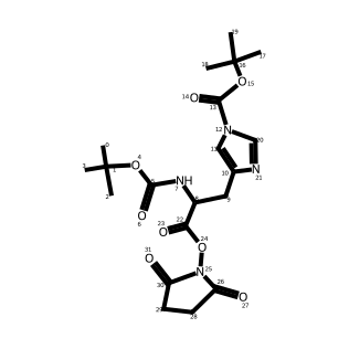 CC(C)(C)OC(=O)NC(Cc1cn(C(=O)OC(C)(C)C)cn1)C(=O)ON1C(=O)CCC1=O